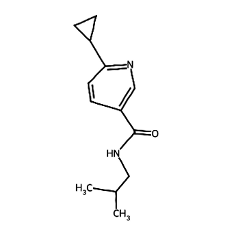 CC(C)CNC(=O)c1ccc(C2CC2)nc1